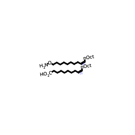 CCCCCCCC/C=C\CCCCCCCC(=O)O.CCCCCCCC/C=C\CCCCCCCCON